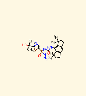 [2H]C1([2H])CCc2cc3c(c(NC(=O)N=S(N)(=O)c4cnc(C(C)(C)O)s4)c21)C([2H])([2H])CC3